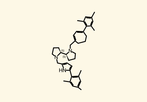 Cc1cc(C)c(C2=CC=C(CN3CCC[C@H]3[C@@H]3CCCN3Cc3ccc(-c4c(C)cc(C)cc4C)[nH]3)CCC2)c(C)c1